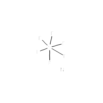 FS(F)(F)(F)(F)F.[N]